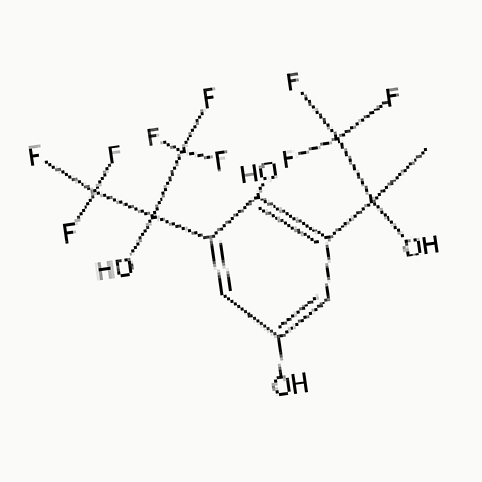 CC(O)(c1cc(O)cc(C(O)(C(F)(F)F)C(F)(F)F)c1O)C(F)(F)F